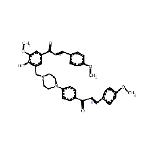 COc1ccc(/C=C/C(=O)c2ccc(N3CCN(Cc4cc(C(=O)/C=C/c5ccc(OC)cc5)cc(OC)c4O)CC3)cc2)cc1